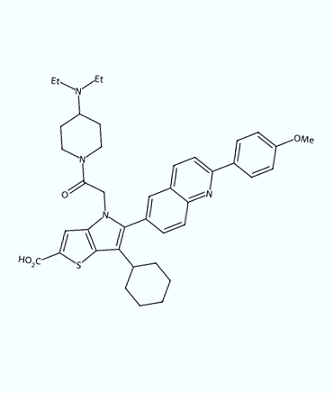 CCN(CC)C1CCN(C(=O)Cn2c(-c3ccc4nc(-c5ccc(OC)cc5)ccc4c3)c(C3CCCCC3)c3sc(C(=O)O)cc32)CC1